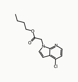 CCCCOC(=O)Cn1ccc2c(Cl)ccnc21